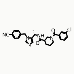 C[C@H](NC(=O)C1CCCN(C(=O)c2cccc(Cl)c2)C1)c1cncn1Cc1ccc(C#N)cc1